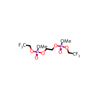 COP(=O)(OCCOP(=O)(OC)OCC(F)(F)F)OCC(F)(F)F